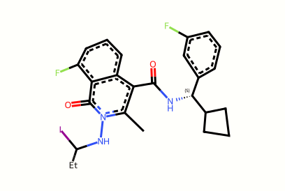 CCC(I)Nn1c(C)c(C(=O)N[C@H](c2cccc(F)c2)C2CCC2)c2cccc(F)c2c1=O